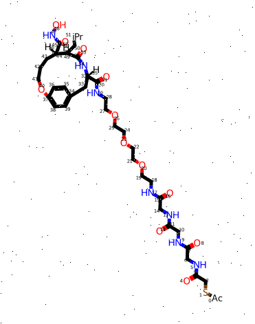 CC(=O)SCC(=O)NCC(=O)NCC(=O)NCC(=O)NCCOCCOCCOCCNC(=O)[C@@H]1Cc2ccc(cc2)OCCC[C@H](C(=O)NO)[C@@H](CC(C)C)C(=O)N1